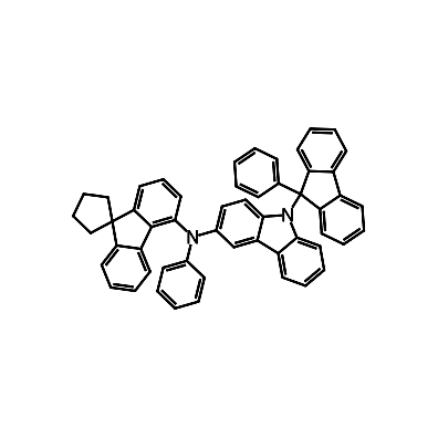 c1ccc(N(c2ccc3c(c2)c2ccccc2n3C2(c3ccccc3)c3ccccc3-c3ccccc32)c2cccc3c2-c2ccccc2C32CCCC2)cc1